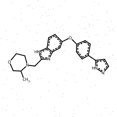 CC1COCCN1Cc1nc2cc(Oc3ccc(-c4ccn[nH]4)cc3)ccc2[nH]1